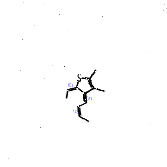 C\C=C/C=c1/c(C)c(C)s/c1=C/C